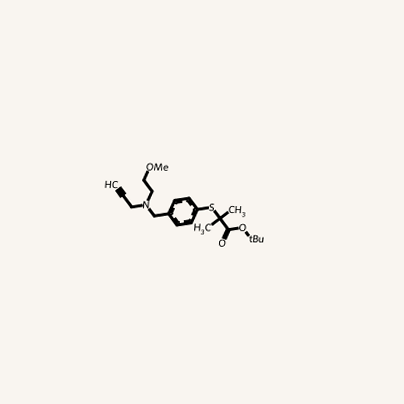 C#CCN(CCOC)Cc1ccc(SC(C)(C)C(=O)OC(C)(C)C)cc1